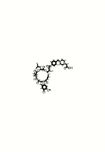 COc1ccc(C[C@H]2NC(=O)C=CC[C@@H]([C@H](C)[C@H]3O[C@@H]3c3ccc(CN4CCN(CC(=O)O)CC4)cc3)OC(=O)[C@H](CC(C)C)OC(=O)C(C)(C)CNC2=O)cc1Cl